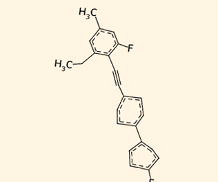 CCc1cc(C)cc(F)c1C#Cc1ccc(-c2ccc(F)cc2)cc1